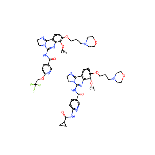 COc1c(OCCCN2CCOCC2)ccc2c1N=C(NC(=O)c1ccc(NC(=O)C3CC3)nc1)N1CCN=C21.COc1c(OCCCN2CCOCC2)ccc2c1N=C(NC(=O)c1ccc(OCC(F)(F)F)nc1)N1CCN=C21